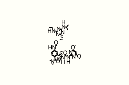 CCNc1nc(NC(C)C)nc(SC)n1.COc1cc(OC)nc(NC(=O)NS(=O)(=O)c2cc(NC=O)ccc2C(=O)N(C)C)n1